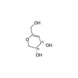 OCC1=C[C@H](O)[C@H](O)[CH]O1